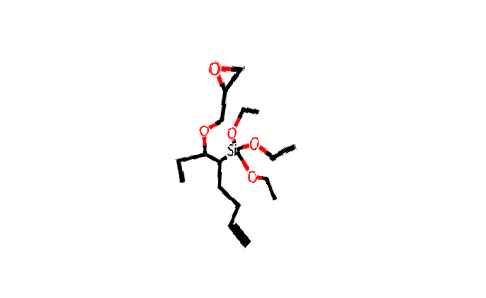 C=CCCC(C(CC)OCC1CO1)[Si](OCC)(OCC)OCC